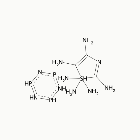 NC1=NC(N)=C(N)[SH]1(N)(N)N.n1p[nH][pH][nH][pH]1